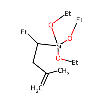 C=C(C)CC(CC)[Si](OCC)(OCC)OCC